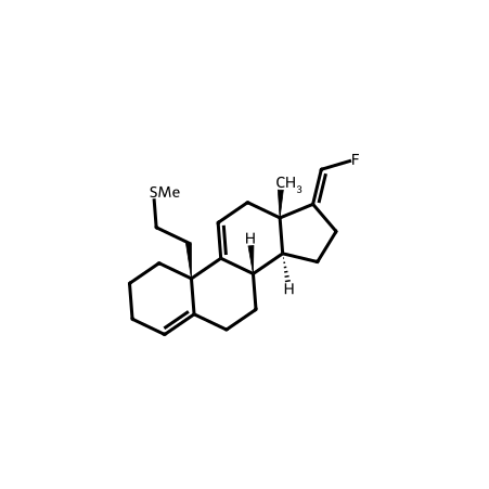 CSCC[C@]12CCCC=C1CC[C@@H]1C2=CC[C@]2(C)C(=CF)CC[C@@H]12